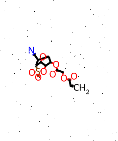 C=CC(=O)OCC(=O)OC1C2OC3C1OS(=O)(=O)C3C2C#N